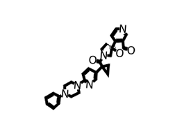 O=C1O[C@]2(CCN(C(=O)C3(c4ccc(N5CCN(c6ccccc6)CC5)nc4)CC3)C2)c2ccncc21